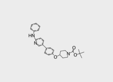 CC(C)(C)OC(=O)N1CCC(Oc2ccc(-c3ccc(Nc4ccccc4)nc3)cc2)CC1